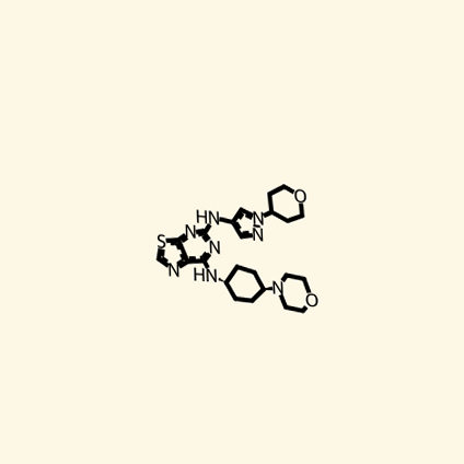 c1nc2c(N[C@H]3CC[C@H](N4CCOCC4)CC3)nc(Nc3cnn(C4CCOCC4)c3)nc2s1